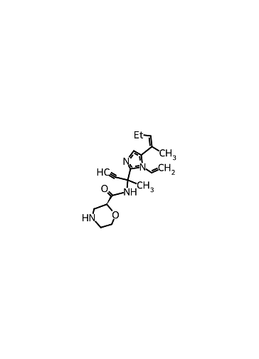 C#CC(C)(NC(=O)[C@@H]1CNCCO1)c1ncc(/C(C)=C\CC)n1C=C